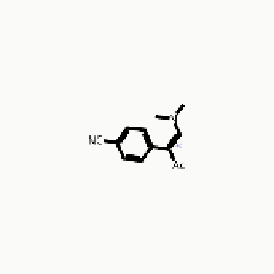 CC(=O)/C(=C/N(C)C)c1ccc(C#N)cc1